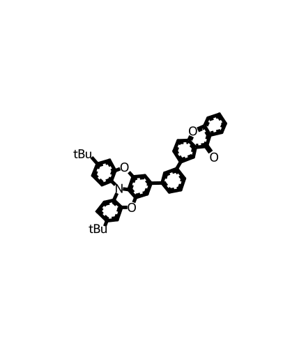 CC(C)(C)c1ccc2c(c1)Oc1cc(-c3cccc(-c4ccc5oc6ccccc6c(=O)c5c4)c3)cc3c1N2c1ccc(C(C)(C)C)cc1O3